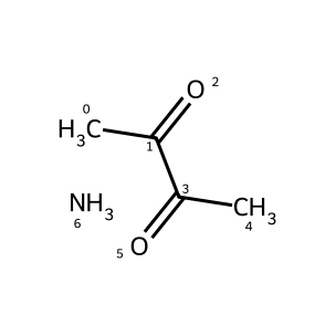 CC(=O)C(C)=O.N